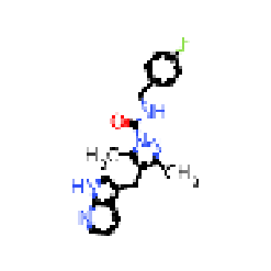 Cc1nn(C(=O)NCc2ccc(F)cc2)c(C)c1Cc1c[nH]c2ncccc12